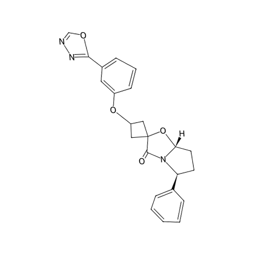 O=C1N2[C@@H](CC[C@H]2c2ccccc2)OC12CC(Oc1cccc(-c3nnco3)c1)C2